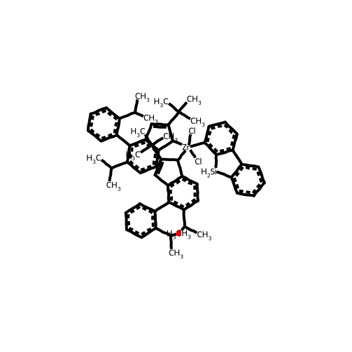 CC(C)c1ccccc1-c1c(C(C)C)ccc2c1C=C(C(C)(C)C)[CH]2[Zr]([Cl])([Cl])([c]1cccc2c1[SiH2]c1ccccc1-2)[CH]1C(C(C)(C)C)=Cc2c1ccc(C(C)C)c2-c1ccccc1C(C)C